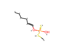 CCCCC=COP(O)(=S)SC